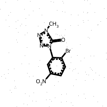 Cn1nnn(-c2cc([N+](=O)[O-])ccc2Br)c1=O